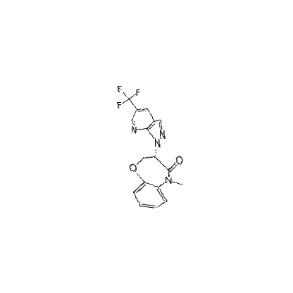 CN1C(=O)[C@@H](n2ncc3cc(C(F)(F)F)cnc32)COc2ccccc21